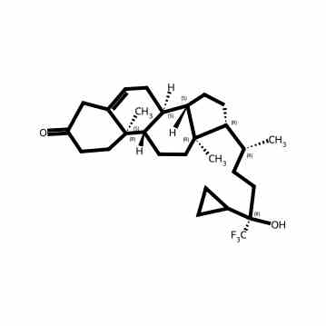 C[C@H](CC[C@@](O)(C1CC1)C(F)(F)F)[C@H]1CC[C@H]2[C@@H]3CC=C4CC(=O)CC[C@]4(C)[C@H]3CC[C@]12C